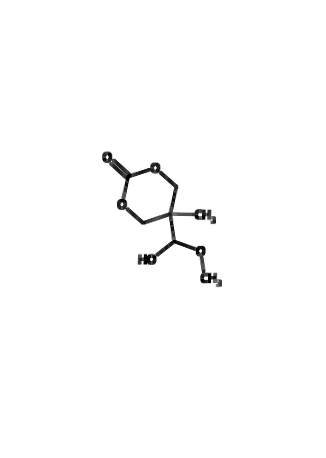 COC(O)C1(C)COC(=O)OC1